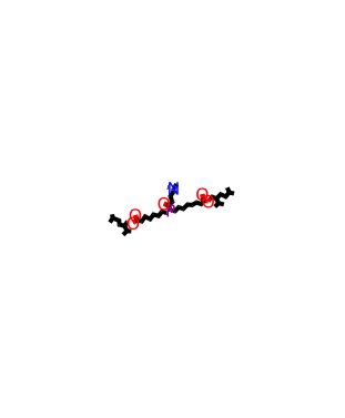 CC(C)CCC(COC(=O)CCCCCCCP(CCCCCCCC(=O)OCC(CCC(C)C)C(C)C)C(=O)CCCN(C)C)C(C)C